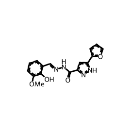 COc1cccc(C=NNC(=O)c2cc(-c3ccco3)[nH]n2)c1O